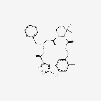 Cc1ccccc1CNC(=O)[C@H]1N(C(=O)[C@@H](O)[C@H](Cc2ccccc2)NC(=O)c2cc(Cl)on2)CSC1(C)C